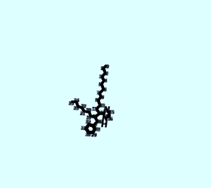 CCCCCCCCCCCCC(c1ncc[nH]1)C(CCCCCCC)Cc1ccccc1